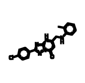 Cc1ccccc1NCc1cc(=O)n2nc(-c3ccc(Cl)cc3)nc2[nH]1